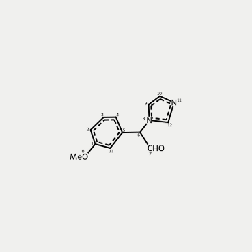 COc1cccc(C(C=O)n2ccnc2)c1